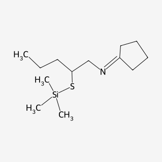 CCCC(CN=C1CCCC1)S[Si](C)(C)C